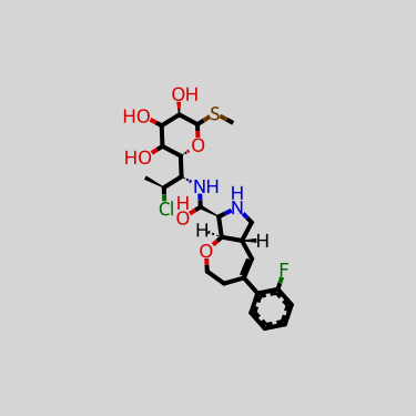 CSC1O[C@H]([C@H](NC(O)[C@H]2NC[C@@H]3C=C(c4ccccc4F)CCO[C@@H]23)[C@H](C)Cl)C(O)C(O)[C@H]1O